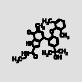 CCNC(=O)c1cc2c(-c3cc(C(C)(C)O)ccc3Oc3c(C)cccc3C)cn(C)c(=O)c2[nH]1